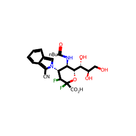 CCCCC(=O)N[C@H]1[C@H]([C@H](O)[C@H](O)CO)OC(F)(C(=O)O)C(F)[C@@H]1n1cc2ccccc2c1C#N